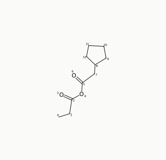 C[CH]C(=O)OC(=O)CC1CCCC1